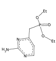 CCOP(=O)(Cc1ccnc(N)n1)OCC